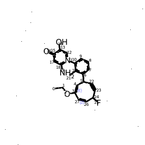 CCOC1=C/C(c2cccc(-n3cc(O)c(=O)cc3N)c2C)C#CC(F)/C=C\1